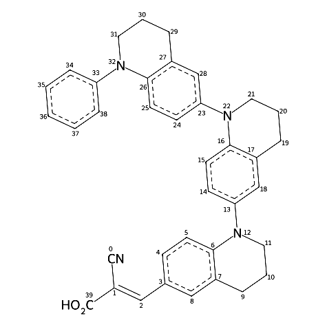 N#C/C(=C\c1ccc2c(c1)CCCN2c1ccc2c(c1)CCCN2c1ccc2c(c1)CCCN2c1ccccc1)C(=O)O